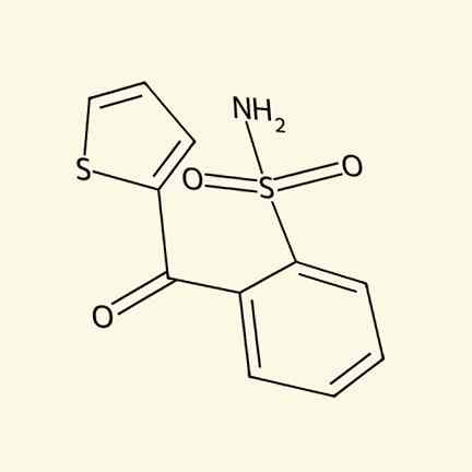 NS(=O)(=O)c1ccccc1C(=O)c1cccs1